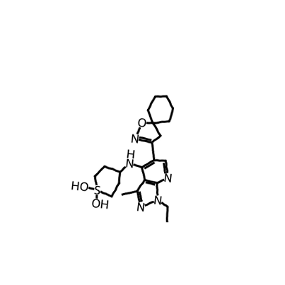 CCn1nc(C)c2c(NC3CCS(O)(O)CC3)c(C3=NOC4(CCCCC4)C3)cnc21